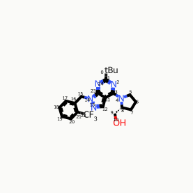 CC(C)(C)c1nc(N2CCC[C@@H]2CO)c2cnn(Cc3ccccc3C(F)(F)F)c2n1